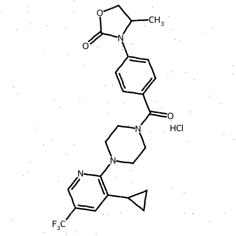 CC1COC(=O)N1c1ccc(C(=O)N2CCN(c3ncc(C(F)(F)F)cc3C3CC3)CC2)cc1.Cl